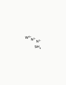 [N-3].[N-3].[SiH4].[W+6]